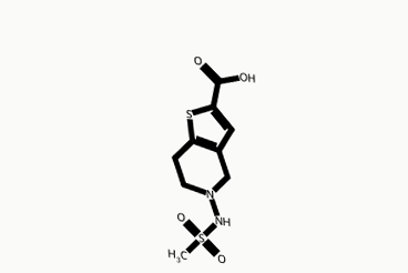 CS(=O)(=O)NN1CCc2sc(C(=O)O)cc2C1